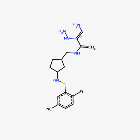 C=C(NCC1CCC(NSc2cc(C#N)ccc2CC)C1)/C(=C/N)NN